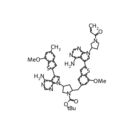 C=CC(=O)N1CCC(n2cc(-c3cc4cc(CC5CC(n6cc(-c7cc8cc(C)cc(OC)c8s7)c7c(N)ncnc76)CN5C(=O)OC(C)(C)C)cc(OC)c4s3)c3c(N)ncnc32)C1